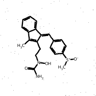 CC1=C(CCN(O)C(N)=O)/C(=C\c2ccc([S+](C)[O-])cc2)c2ccccc21